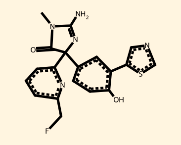 CN1C(=O)C(c2ccc(O)c(-c3cncs3)c2)(c2cccc(CF)n2)N=C1N